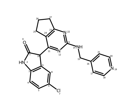 O=C1Nc2ccc(Cl)cc2C1c1nc(NCc2ccncc2)nc2c1CCC2